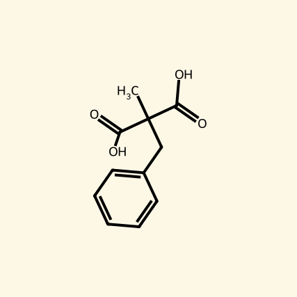 CC(Cc1ccccc1)(C(=O)O)C(=O)O